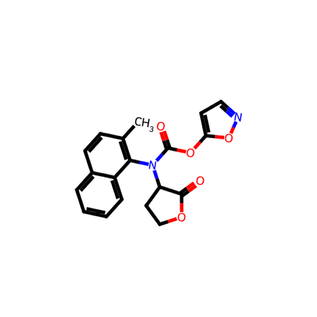 Cc1ccc2ccccc2c1N(C(=O)Oc1ccno1)C1CCOC1=O